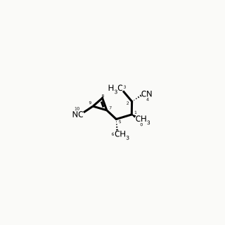 C[C@H]([C@H](C)C#N)[C@H](C)C1=CC1C#N